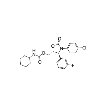 O=C(NC1CCCCC1)OC[C@@H]1OC(=O)N(c2ccc(Cl)cc2)[C@H]1c1cccc(F)c1